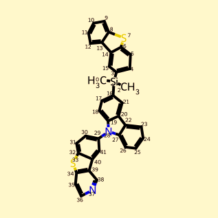 C[Si](C)(c1ccc2sc3ccccc3c2c1)c1ccc2c(c1)c1ccccc1n2-c1ccc2sc3ccncc3c2c1